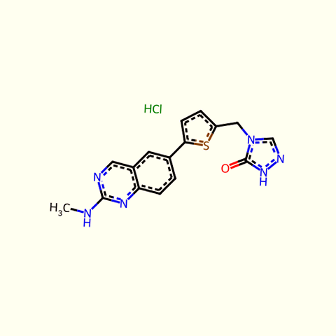 CNc1ncc2cc(-c3ccc(Cn4cn[nH]c4=O)s3)ccc2n1.Cl